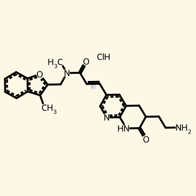 Cc1c(CN(C)C(=O)/C=C/c2cnc3c(c2)CC(CCN)C(=O)N3)oc2ccccc12.Cl